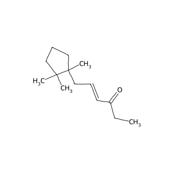 CCC(=O)C=CCC1(C)CCCC1(C)C